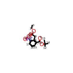 CCOC(=O)Cc1c(C(=O)OC(C)(C)C)cccc1[N+](=O)[O-]